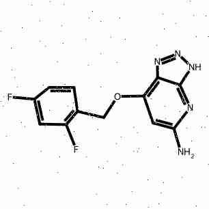 Nc1cc(OCc2ccc(F)cc2F)c2nn[nH]c2n1